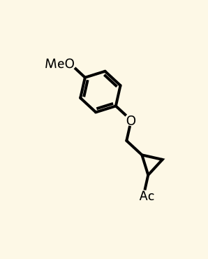 COc1ccc(OCC2CC2C(C)=O)cc1